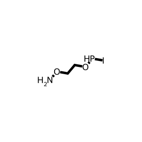 NOCCOPI